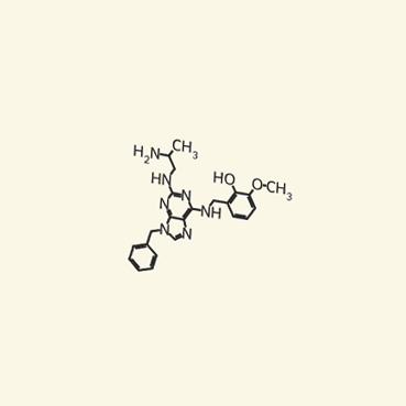 COc1cccc(CNc2nc(NCC(C)N)nc3c2ncn3Cc2ccccc2)c1O